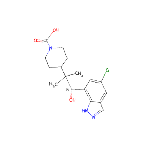 CC(C)(C1CCN(C(=O)O)CC1)[C@@H](O)c1cc(Cl)cc2cn[nH]c12